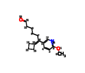 COc1ccc(C(CCCCC=O)=C2CCC2)cn1